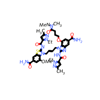 CCn1nc(C)cc1C(=O)/N=c1\sc2cc(C(N)=O)cc(OC)c2n1C/C=C/Cn1c(NC(=O)c2cc(C)nn2CC)nc2cc(C(N)=O)cc(OCCCC(=O)N(C)NC)c21